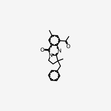 CC(=O)c1cc(C)cc2c(=O)n3c(nc12)C(C)(Cc1ccccc1)CC3